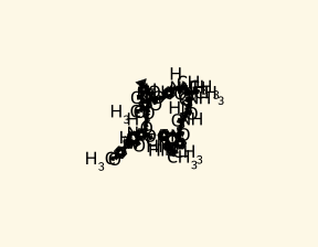 COc1ccc(C2=CN3C(=O)c4cc(OC)c(OCCCOc5cc6c(cc5OC)C(=O)N5CC7(CC7)C[C@H]5C(O)N6C(=O)OCc5ccc(NC(=O)[C@H](C)NC(=O)[C@@H](NC(=O)CNC(=O)CNC(=O)CCC(=O)N6Cc7ccccc7C7=C(c8ccccc86)N(C(C)C)NN7)C(C)C)cc5)cc4NC[C@@H]3C2)cc1